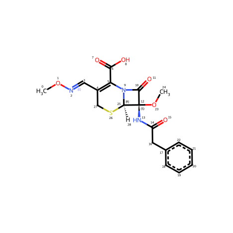 CO/N=C/C1=C(C(=O)O)N2C(=O)[C@](NC(=O)Cc3ccccc3)(OC)[C@H]2SC1